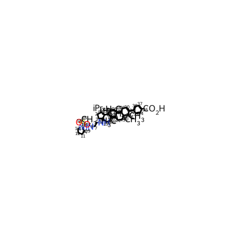 CC(C)[C@@H]1CC[C@]2(NCCNC[C@@H]3CCCN3S(C)(=O)=O)CC[C@]3(C)[C@H](CCC4[C@@]5(C)CC=C(c6ccc(C(=O)O)cc6)C(C)(C)C5CC[C@]43C)C12